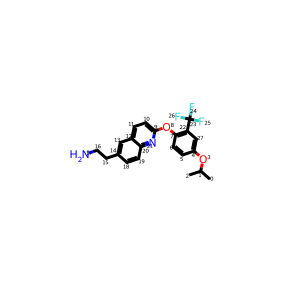 CC(C)Oc1ccc(Oc2ccc3cc(CCN)ccc3n2)c(C(F)(F)F)c1